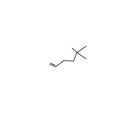 [CH2]C(C)(C)CCC=C